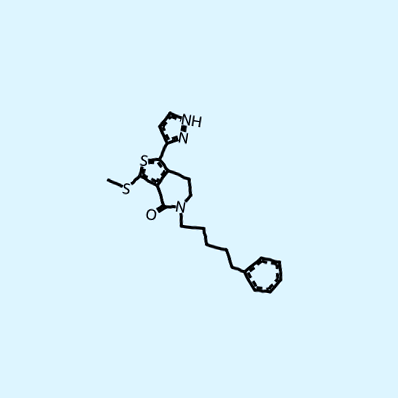 CSc1sc(-c2cc[nH]n2)c2c1C(=O)N(CCCCCc1ccccc1)CC2